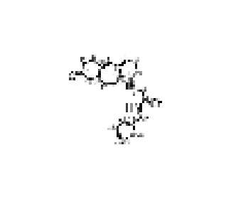 CC[C@H](CC[C@@H]1CCC=C2C=C3CCC(=O)CC3CC[C@@]21O)NCc1cccnc1